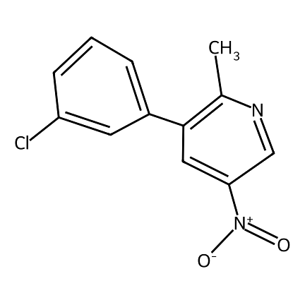 Cc1ncc([N+](=O)[O-])cc1-c1cccc(Cl)c1